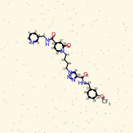 O=C(NCc1cccnc1)c1ccn(CCCCn2cc(C(=O)NCc3cccc(OC(F)(F)F)c3)nn2)c(=O)c1